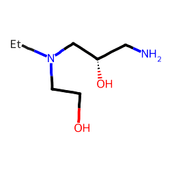 CCN(CCO)C[C@@H](O)CN